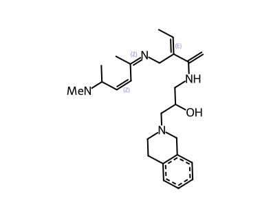 C=C(NCC(O)CN1CCc2ccccc2C1)/C(=C/C)C/N=C(C)\C=C/C(C)NC